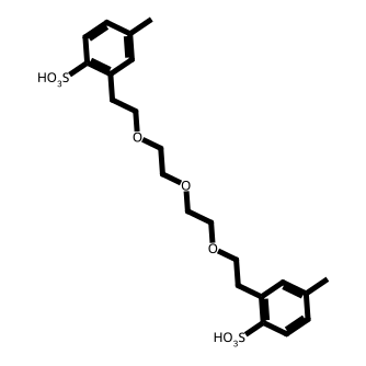 Cc1ccc(S(=O)(=O)O)c(CCOCCOCCOCCc2cc(C)ccc2S(=O)(=O)O)c1